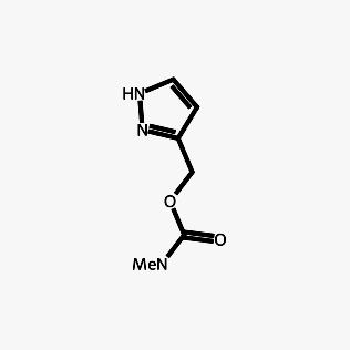 CNC(=O)OCc1cc[nH]n1